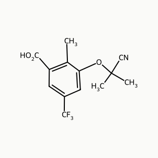 Cc1c(OC(C)(C)C#N)cc(C(F)(F)F)cc1C(=O)O